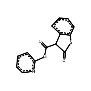 O=C(Nc1ccccn1)C1C(=O)Sc2ccccc21